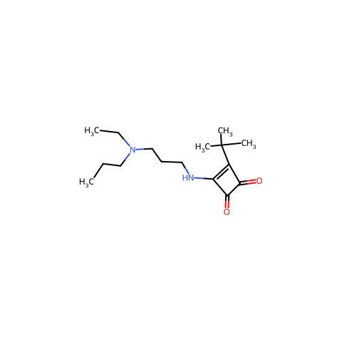 CCCN(CC)CCCNc1c(C(C)(C)C)c(=O)c1=O